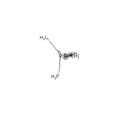 CCCCCCCCCCCCCCC=COC[C@H](COP(=O)(O)OCC[N+](C)(C)C)OC=CCCCCCCCCCCCCCC